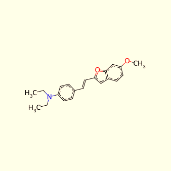 CCN(CC)c1ccc(/C=C/c2cc3ccc(OC)cc3o2)cc1